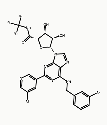 [2H]C([2H])([2H])NC(=O)[C@H]1O[C@@H](n2cnc3c(NCc4cccc(Br)c4)nc(-c4cncc(Cl)c4)nc32)[C@H](O)[C@@H]1O